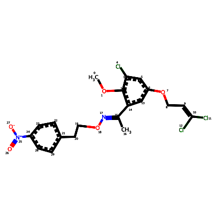 COc1c(Cl)cc(OCC=C(Cl)Cl)cc1/C(C)=N/OCCc1ccc([N+](=O)[O-])cc1